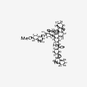 COc1ccc2c(Oc3cccc(C(=O)NCc4cc(CC(C)c5ccnc6ccc(CNC(=O)c7cccc(Oc8ccnc9ccccc89)c7)cc56)nc5ccccc45)c3C)ccnc2c1